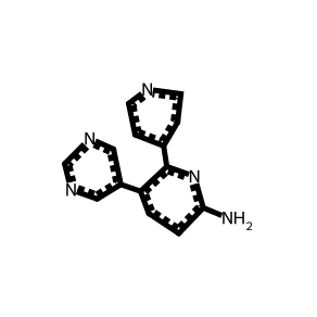 Nc1ccc(-c2cncnc2)c(-c2ccncc2)n1